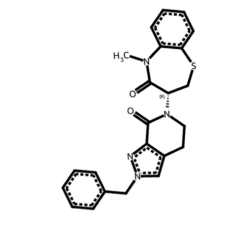 CN1C(=O)[C@@H](N2CCc3cn(Cc4ccccc4)nc3C2=O)CSc2ccccc21